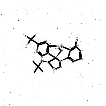 CC(C)(C)C[C@@H]1NC[C@H](c2cccc(Cl)c2F)[C@]12CNc1cc(C(F)(F)F)ncc12